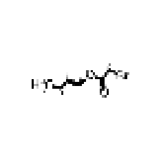 CC/C=C/OC(=O)CBr